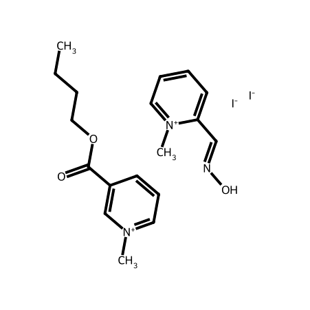 CCCCOC(=O)c1ccc[n+](C)c1.C[n+]1ccccc1C=NO.[I-].[I-]